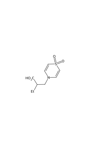 CCC(CN1C=CS(=O)(=O)C=C1)C(=O)O